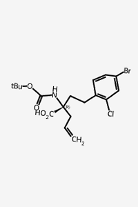 C=CC[C@@](CCc1ccc(Br)cc1Cl)(NC(=O)OC(C)(C)C)C(=O)O